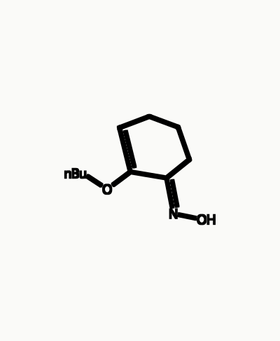 CCCCOC1=CCCCC1=NO